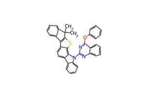 CC1(C)c2ccccc2-c2c1sc1c2ccc2c3ccccc3n(-c3nc(Oc4ccccc4)c4ccccc4n3)c21